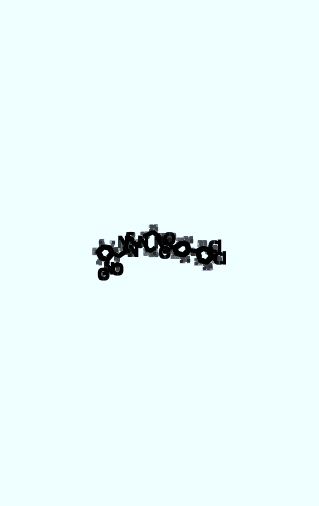 O=[N+]([O-])c1ccccc1Cc1nsc(N2CCCN(S(=O)(=O)c3ccc(-c4ccc(Cl)c(Cl)c4)cc3)CC2)n1